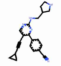 N#Cc1ccc(-c2nc(NCC3CCNC3)ncc2C#CC2CC2)cc1